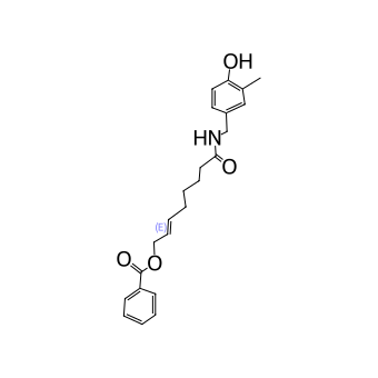 Cc1cc(CNC(=O)CCCC/C=C/COC(=O)c2ccccc2)ccc1O